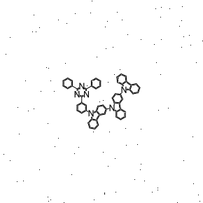 c1ccc(-c2nc(-c3ccccc3)nc(-c3cccc(-n4c5ccccc5c5cc(-n6c7ccccc7c7cc(-n8c9ccccc9c9ccccc98)ccc76)ccc54)c3)n2)cc1